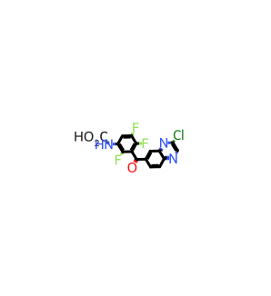 O=C(O)Nc1cc(F)c(F)c(C(=O)c2ccc3ncc(Cl)nc3c2)c1F